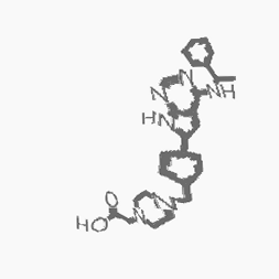 CC(Nc1ncnc2[nH]c(-c3ccc(CN4CCN(CC(=O)O)CC4)cc3)cc12)c1ccccc1